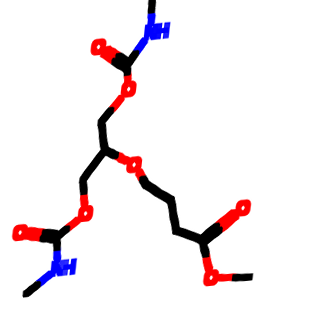 CNC(=O)OCC(COC(=O)NC)OCCCC(=O)OC